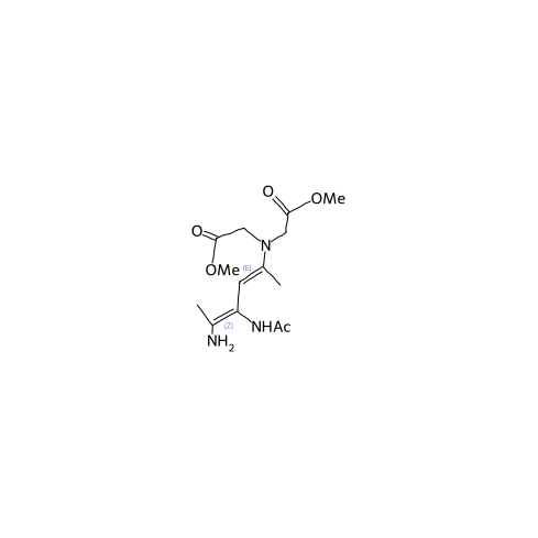 COC(=O)CN(CC(=O)OC)/C(C)=C/C(NC(C)=O)=C(\C)N